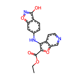 CCOC(=O)c1oc2cnccc2c1Nc1ccc2c(O)noc2c1